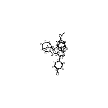 COc1ccc(F)c(C(=O)N2CC3CCC2CN(Cc2c(-c4ccc(Cl)cc4)nc4ccccn24)C3)n1